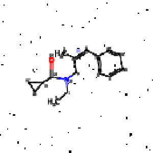 CCN(C/C(C)=C\c1ccccc1)C(=O)C1CC1